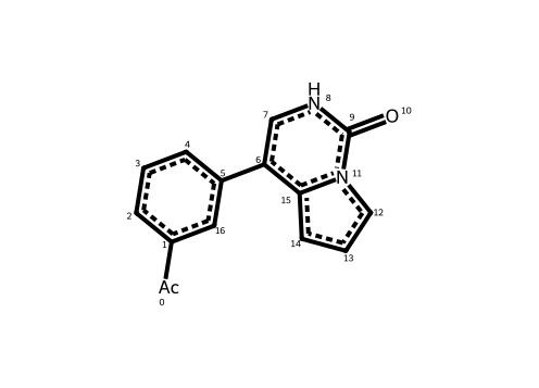 CC(=O)c1cccc(-c2c[nH]c(=O)n3cccc23)c1